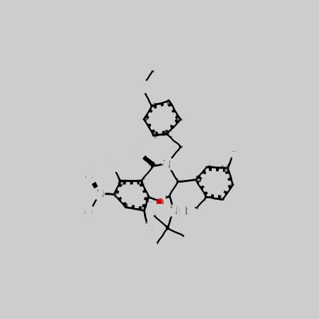 COc1ccc(CN(C(=O)c2c(C)c(Br)cc([N+](=O)[O-])c2F)C(c2cc(F)ccc2Cl)C(O)NC(C)(C)C)cc1